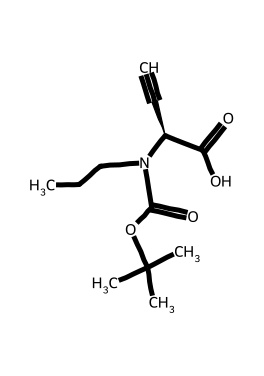 C#C[C@@H](C(=O)O)N(CCC)C(=O)OC(C)(C)C